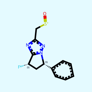 O=[S+]Cc1nc2n(n1)[C@H](c1ccccc1)C[C@@H]2F